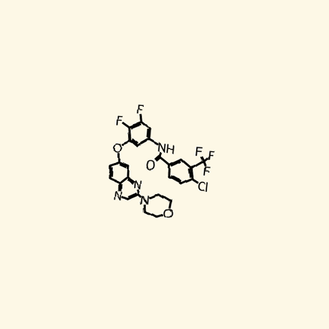 O=C(Nc1cc(F)c(F)c(Oc2ccc3ncc(N4CCOCC4)nc3c2)c1)c1ccc(Cl)c(C(F)(F)F)c1